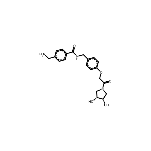 NCc1ccc(C(=O)NCc2ccc(OCC(=O)N3C[C@@H](O)[C@@H](O)C3)cc2)cc1